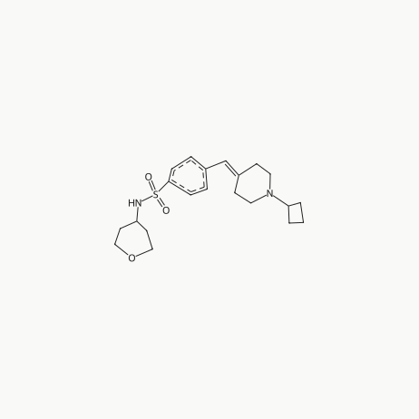 O=S(=O)(NC1CCOCC1)c1ccc(C=C2CCN(C3CCC3)CC2)cc1